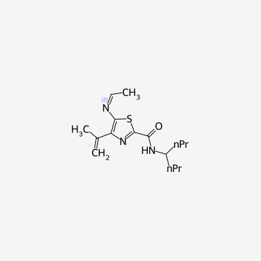 C=C(C)c1nc(C(=O)NC(CCC)CCC)sc1/N=C\C